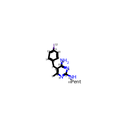 CCCC(C)Nc1nc(C)c(Cc2ccc(I)cc2)c(N)n1